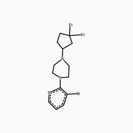 CCC1(CC)CCC(N2CCN(c3ncccc3Br)CC2)C1